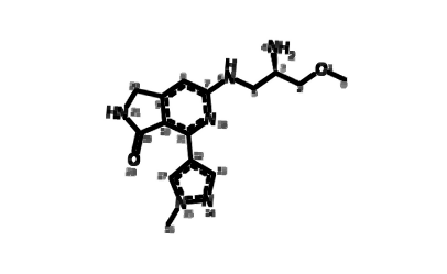 COC[C@H](N)CNc1cc2c(c(-c3cnn(C)c3)n1)C(=O)NC2